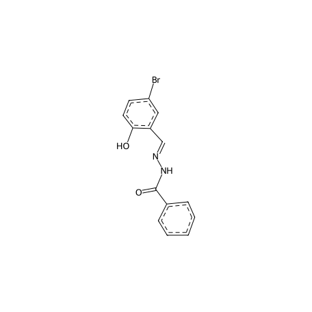 O=C(N/N=C/c1cc(Br)ccc1O)c1ccccc1